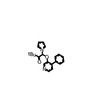 CC(C)(C)C(=O)C(Oc1cnccc1-c1ccccc1)n1cccc1